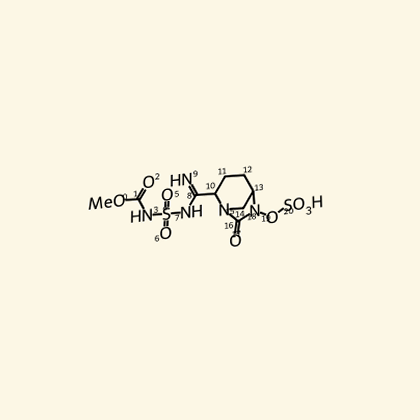 COC(=O)NS(=O)(=O)NC(=N)C1CCC2CN1C(=O)N2OS(=O)(=O)O